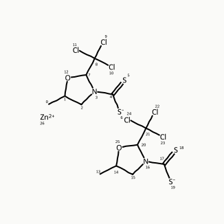 CC1CN(C(=S)[S-])C(C(Cl)(Cl)Cl)O1.CC1CN(C(=S)[S-])C(C(Cl)(Cl)Cl)O1.[Zn+2]